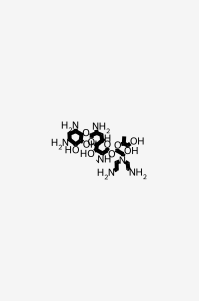 CNC1C(O[C@H](OC(C)CO)C(O)N(CCN)CCN)O[C@H]2CC(N)[C@@H](O[C@@H]3C(N)C[C@@H](N)C(O)C3O)OC2C1O